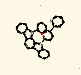 c1ccc(-n2c3ccccc3c3ccc4c5ccccc5n(-c5ccc(-c6ccccn6)cn5)c4c32)cc1